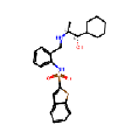 C[C@H](NCc1ccccc1NS(=O)(=O)c1cc2ccccc2s1)[C@@H](O)C1CCCCC1